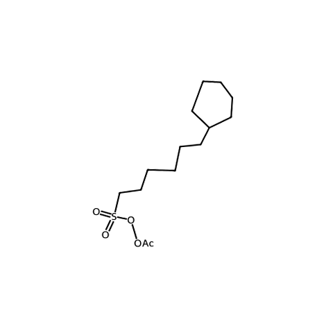 CC(=O)OOS(=O)(=O)CCCCCCC1CCCCC1